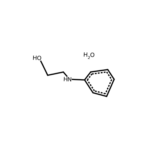 O.OCCNc1ccccc1